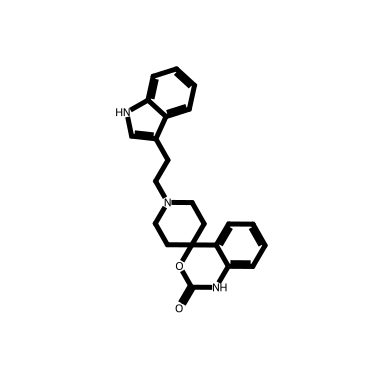 O=C1Nc2ccccc2C2(CCN(CCc3c[nH]c4ccccc34)CC2)O1